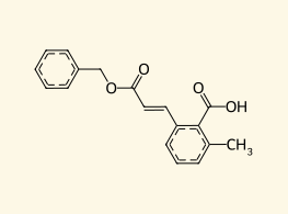 Cc1cccc(/C=C/C(=O)OCc2ccccc2)c1C(=O)O